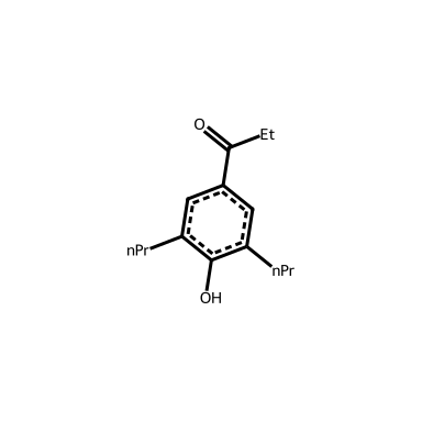 CCCc1cc(C(=O)CC)cc(CCC)c1O